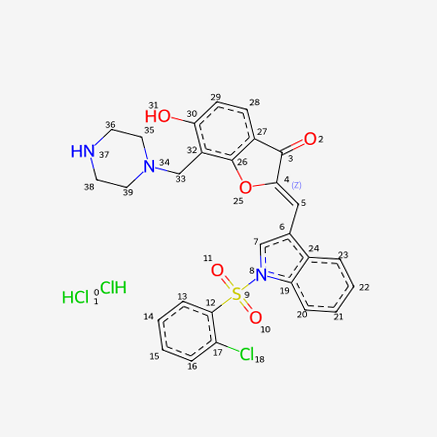 Cl.Cl.O=C1/C(=C/c2cn(S(=O)(=O)c3ccccc3Cl)c3ccccc23)Oc2c1ccc(O)c2CN1CCNCC1